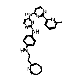 Cc1cccc(-c2nccc(Nc3ccnc(Nc4ccc(NCCC5=CCCCC=N5)cc4)n3)n2)n1